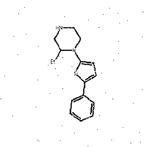 CCC1CNCCN1c1ccc(-c2ccccc2)s1